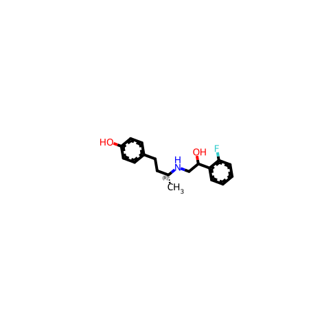 C[C@H](CCc1ccc(O)cc1)NCC(O)c1ccccc1F